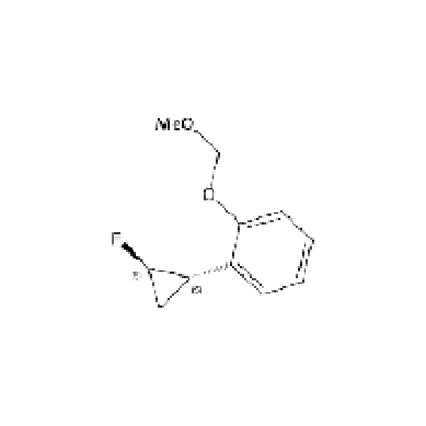 COCOc1ccccc1[C@@H]1C[C@H]1F